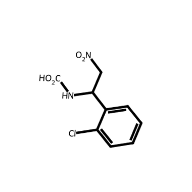 O=C(O)NC(C[N+](=O)[O-])c1ccccc1Cl